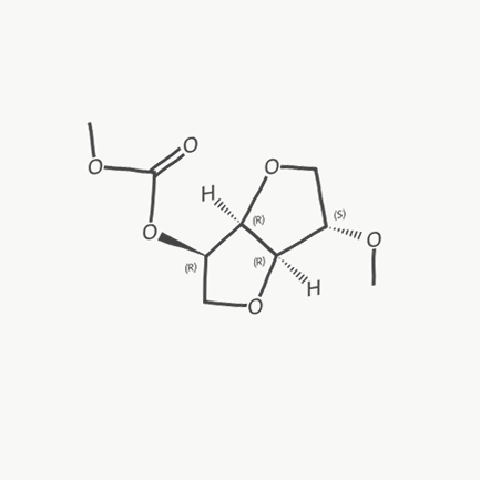 COC(=O)O[C@@H]1CO[C@H]2[C@@H]1OC[C@@H]2OC